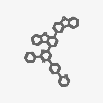 c1ccc(-c2nc(-c3ccc(-c4ccccn4)cc3)cc(-c3ccc(-c4ccc5oc6ccccc6c5c4)c4oc5ccccc5c34)n2)cc1